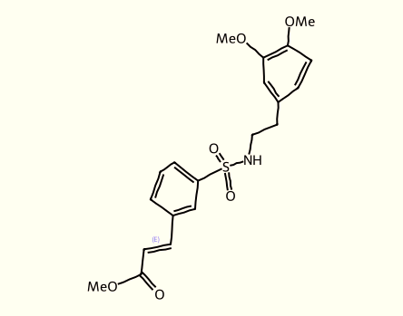 COC(=O)/C=C/c1cccc(S(=O)(=O)NCCc2ccc(OC)c(OC)c2)c1